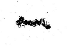 O=C(NS(=O)(=O)c1ccc(NCCSc2ccccc2)c(C(F)(F)F)c1)c1ccc(N2CCN(Cc3ccccc3-c3cncc(O)c3)CC2)cc1